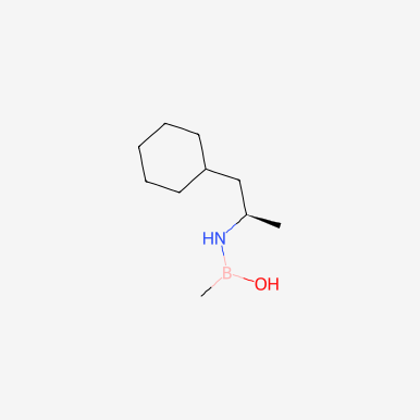 CB(O)N[C@H](C)CC1CCCCC1